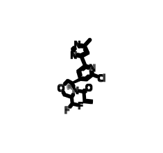 C=CC(=O)N1C(C(F)F)COC[C@H]1c1cc(Cl)nc(-c2cc(C)ncn2)c1